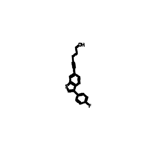 OCCCC#Cc1ccc2c(-c3ccc(F)cc3)csc2c1